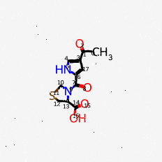 CC(=O)c1c[nH]c(C(=O)N2CSCC2C(=O)O)c1